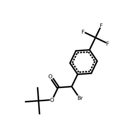 CC(C)(C)OC(=O)C(Br)c1ccc(C(F)(F)F)cc1